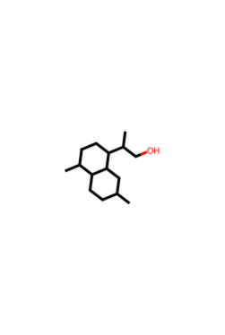 CC1CCC2C(C)CCC(C(C)CO)C2C1